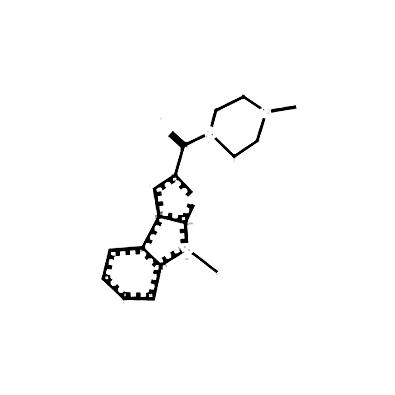 CN1CCN(C(=O)c2cc3c4ccccc4n(C)c3s2)CC1